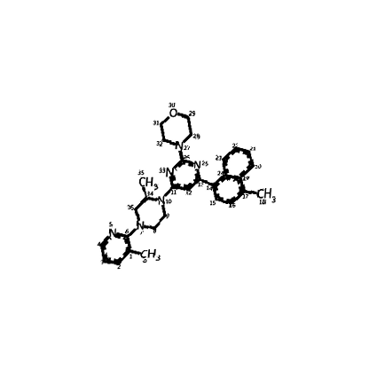 Cc1cccnc1N1CCN(c2cc(-c3ccc(C)c4ccccc34)nc(N3CCOCC3)n2)[C@H](C)C1